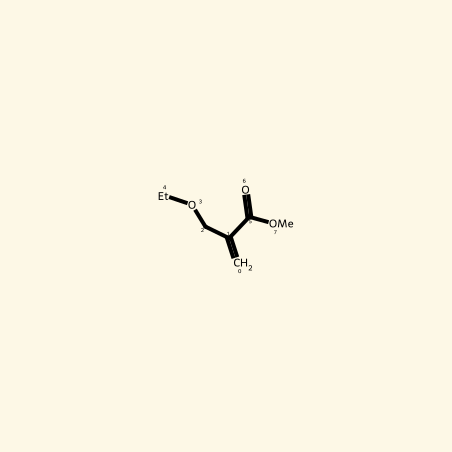 C=C(COCC)C(=O)OC